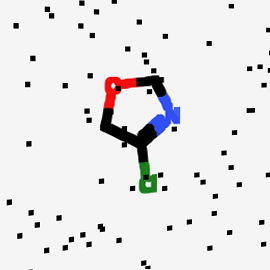 ClC1=N[CH]OC1